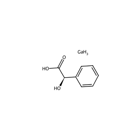 O=C(O)[C@H](O)c1ccccc1.[GaH3]